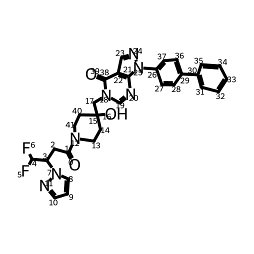 O=C(CC(C(F)F)n1cccn1)N1CCC(O)(Cn2cnc3c(cnn3-c3ccc(-c4ccccc4)cc3)c2=O)CC1